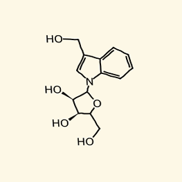 OCc1cn(C2OC(CO)[C@@H](O)[C@H]2O)c2ccccc12